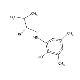 Cc1cc(C)c(O)c(NC[C@H](Br)C(C)C)c1